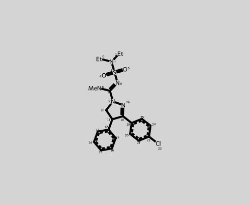 CCN(CC)S(=O)(=O)/N=C(\NC)N1CC(c2ccccc2)C(c2ccc(Cl)cc2)=N1